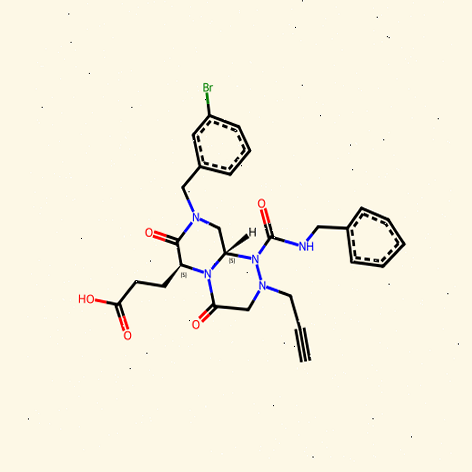 C#CCN1CC(=O)N2[C@@H](CCC(=O)O)C(=O)N(Cc3cccc(Br)c3)C[C@@H]2N1C(=O)NCc1ccccc1